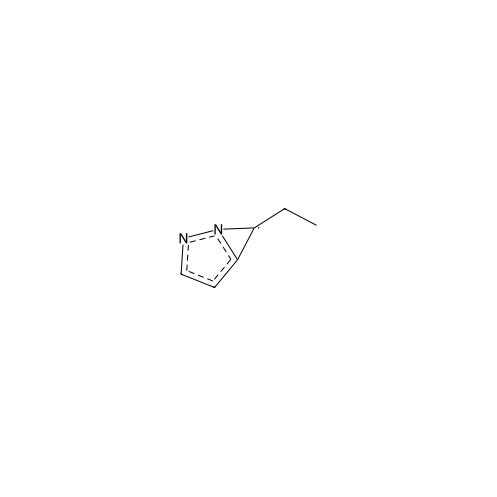 CC[C]1c2ccnn21